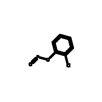 O=POc1ccccc1Cl